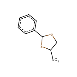 O=[N+]([O-])C1CSC(c2ccccc2)S1